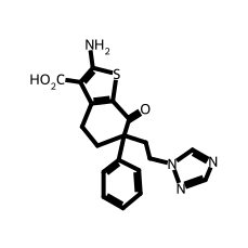 Nc1sc2c(c1C(=O)O)CCC(CCn1cncn1)(c1ccccc1)C2=O